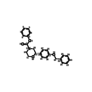 O=C(Oc1ccccc1)N1CCO[C@@H](c2ccc(OCc3ccccc3)cc2)C1